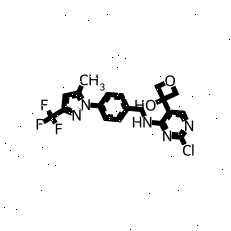 Cc1cc(C(F)(F)F)nn1-c1ccc(CNc2nc(Cl)ncc2C2(O)COC2)cc1